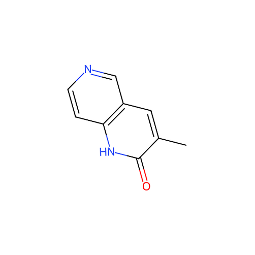 Cc1cc2cnccc2[nH]c1=O